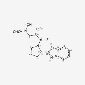 CCC[C@@H](CN(O)C=O)C(=O)N1CCC[C@H]1c1nc2ccccc2o1